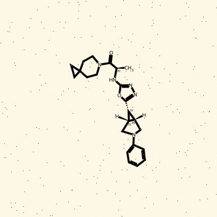 C[C@@H](Nc1nnc([C@@H]2[C@@H]3CN(c4ccccc4)C[C@@H]32)o1)C(=O)N1CCC2(CC1)CC2